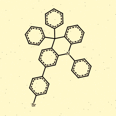 Brc1ccc(-c2ccc3c(c2)N(c2ccccc2)c2ccccc2C3(c2ccccc2)c2ccccc2)cc1